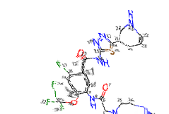 CN1CCN(CC(=O)Nc2cc(C(=O)Nc3nnc(C4=CC=CNC4)s3)c(F)cc2OC(F)(F)F)CC1